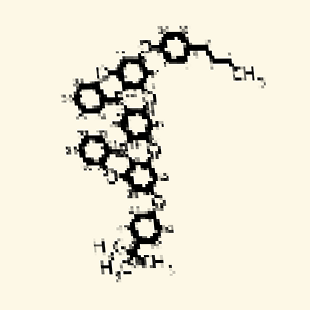 CCCCc1ccc(Oc2cc3c4c(c2)Oc2cc5c(cc2B4c2ccccc2O3)B2c3ccccc3Oc3cc(Oc4ccc(C(C)(C)C)cc4)cc(c32)O5)cc1